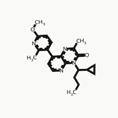 CCCC(C1CC1)n1c(=O)c(C)nc2c(-c3ccc(OC)nc3C)ccnc21